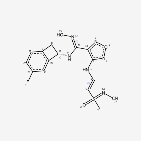 CS(=O)(/C=C/Nc1nonc1/C(=N/O)N[C@H]1Cc2ccc(F)cc21)=NC#N